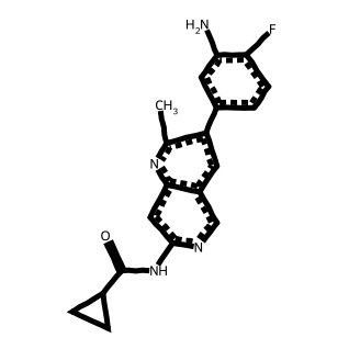 Cc1nc2cc(NC(=O)C3CC3)ncc2cc1-c1ccc(F)c(N)c1